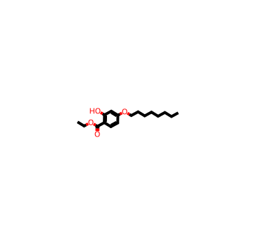 CCCCCCCCOc1ccc(C(=O)OCC)c(O)c1